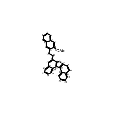 COc1cc2ccccc2cc1CCc1cc2ccccc2c2c1sc1ccc3ccccc3c12